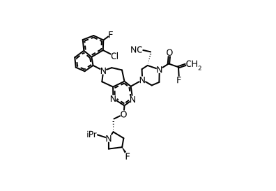 C=C(F)C(=O)N1CCN(c2nc(OC[C@@H]3C[C@@H](F)CN3C(C)C)nc3c2CCN(c2cccc4ccc(F)c(Cl)c24)C3)C[C@@H]1CC#N